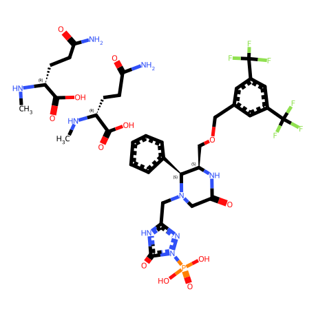 CN[C@H](CCC(N)=O)C(=O)O.CN[C@H](CCC(N)=O)C(=O)O.O=C1CN(Cc2nn(P(=O)(O)O)c(=O)[nH]2)[C@@H](c2ccccc2)[C@@H](COCc2cc(C(F)(F)F)cc(C(F)(F)F)c2)N1